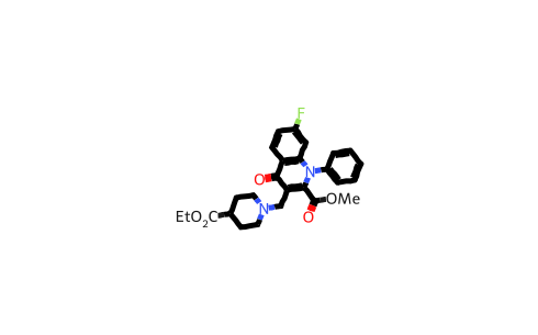 CCOC(=O)C1CCN(Cc2c(C(=O)OC)n(-c3ccccc3)c3cc(F)ccc3c2=O)CC1